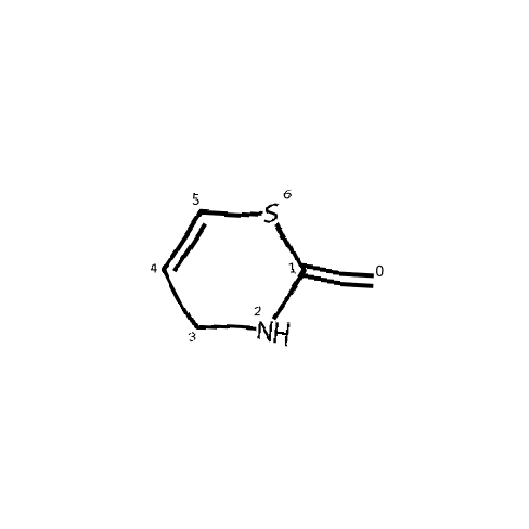 C=C1NCC=CS1